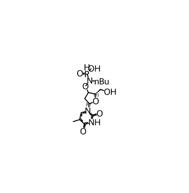 CCCCN(OC1C[C@H](n2cc(C)c(=O)[nH]c2=O)O[C@@H]1CO)[PH](=O)O